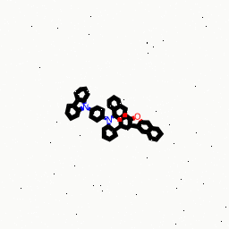 c1ccc(N(c2ccc(-n3c4ccccc4c4ccccc43)cc2)c2cccc3ccccc23)c(-c2ccc3oc4cc5ccccc5cc4c3c2)c1